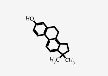 CC1(C)CCc2c1ccc1c2CCc2cc(O)ccc2-1